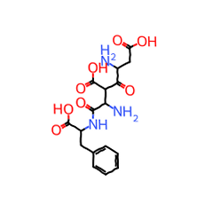 NC(CC(=O)O)C(=O)C(C(=O)O)C(N)C(=O)NC(Cc1ccccc1)C(=O)O